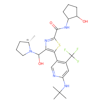 C[C@H]1CCCN1C(O)c1nc(C(=O)NC2CCCC2O)sc1-c1cnc(NC(C)(C)C)cc1C(F)(F)F